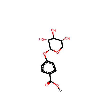 O=C([O][Al])c1ccc(O[C@@H]2OC[C@@H](O)[C@H](O)[C@H]2O)cc1